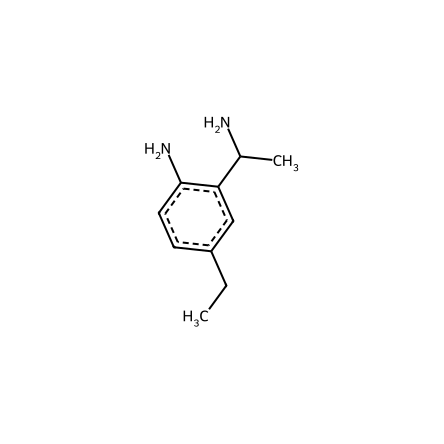 CCc1ccc(N)c(C(C)N)c1